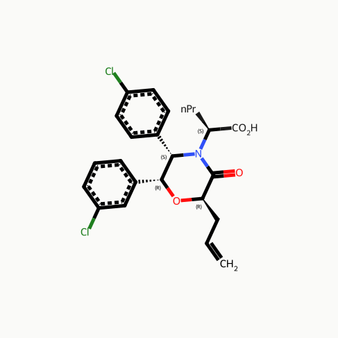 C=CC[C@H]1O[C@H](c2cccc(Cl)c2)[C@H](c2ccc(Cl)cc2)N([C@@H](CCC)C(=O)O)C1=O